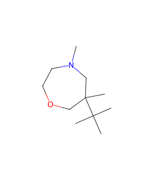 CN1CCOCC(C)(C(C)(C)C)C1